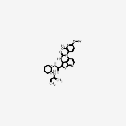 C=CC(=C)N[C@H]1CCCC[C@H]1NC(=O)c1sc2nccc3c2c1NC(=O)N3c1ccc(OC(C)C)nc1C